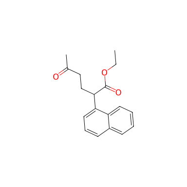 CCOC(=O)C(CCC(C)=O)c1cccc2ccccc12